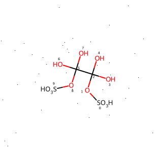 O=S(=O)(O)OC(O)(O)C(O)(O)OS(=O)(=O)O